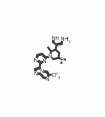 CC1C(/C(C=N)=C/N)CC(P(C)C)CN1c1ccnc(-c2cnc3cnc(C(F)(F)F)cn23)n1